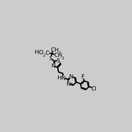 CC(C)(Sc1nc(CCNc2ncc(-c3ccc(Cl)cc3F)cn2)cs1)C(=O)O